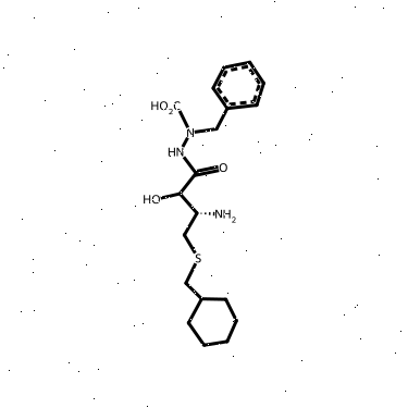 N[C@H](CSCC1CCCCC1)C(O)C(=O)NN(Cc1ccccc1)C(=O)O